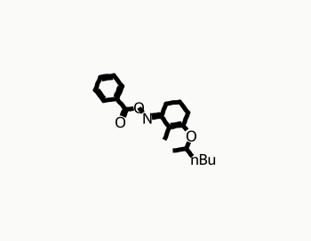 CCCCC(C)OC1=C(C)C(=NOC(=O)c2ccccc2)CCC1